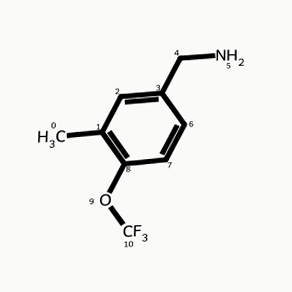 Cc1cc(CN)ccc1OC(F)(F)F